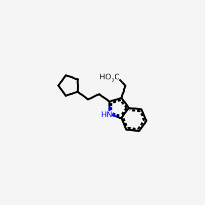 O=C(O)Cc1c(CCC2CCCC2)[nH]c2ccccc12